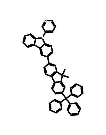 CC1(C)c2cc(-c3ccc4c(c3)c3ccccc3n4-c3cccnc3)ccc2-c2ccc(C(c3ccccc3)(c3ccccc3)c3ccccc3)cc21